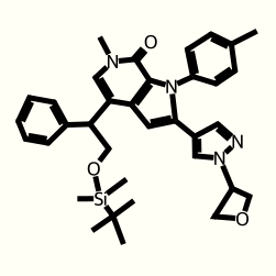 Cc1ccc(-n2c(-c3cnn(C4COC4)c3)cc3c(C(CO[Si](C)(C)C(C)(C)C)c4ccccc4)cn(C)c(=O)c32)cc1